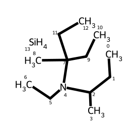 CCC(C)N(CC)C(C)(CC)CC.[SiH4]